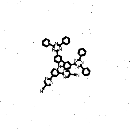 N#Cc1cnc(-c2ccc(-n3c4ccc(-c5nc(-c6ccccc6)nc(-c6ccccc6)n5)cc4c4cc(-c5nc(-c6ccccc6)nc(-c6ccccc6)n5)ccc43)c(-c3ncc(C#N)cn3)c2)nc1